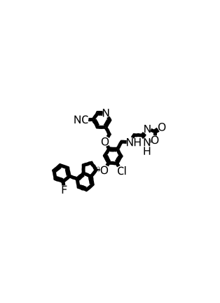 N#Cc1cncc(COc2cc(O[C@H]3CCc4c(-c5ccccc5F)cccc43)c(Cl)cc2CNCc2nc(=O)o[nH]2)c1